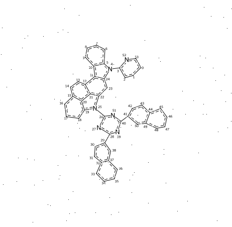 c1ccc(-n2c3ccccc3c3c4ccc5cccc6c5c4c(cc32)n6-c2nc(-c3ccc4ccccc4c3)nc(-c3ccc4ccccc4c3)n2)nc1